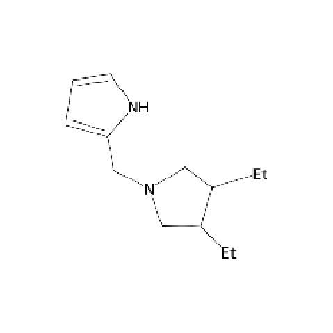 CCC1CN(Cc2ccc[nH]2)CC1CC